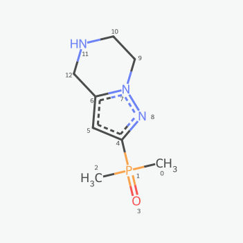 CP(C)(=O)c1cc2n(n1)CCNC2